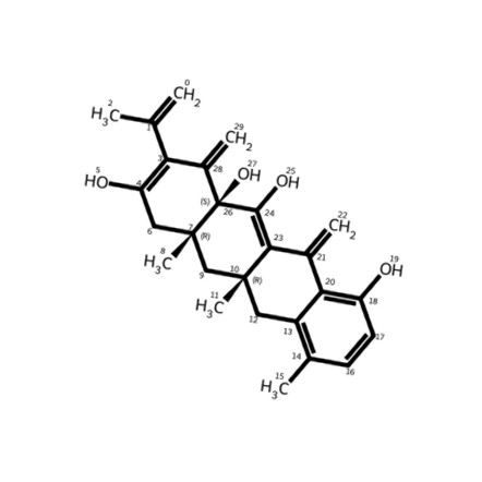 C=C(C)C1=C(O)C[C@@]2(C)C[C@@]3(C)Cc4c(C)ccc(O)c4C(=C)C3=C(O)[C@@]2(O)C1=C